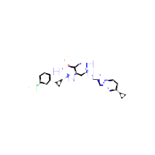 O=c1[nH]c([C@H]2C[C@@H]2c2cccc(Cl)c2)nc2cc(NCc3cn4cc(C5CC5)ccc4n3)ncc12